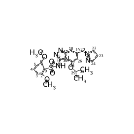 COc1cccc(OC)c1S(=O)(=O)Nc1nnc2cc(Cn3cccn3)cc(OC(C)C)n12